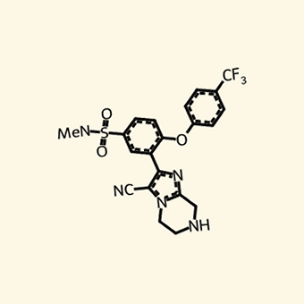 CNS(=O)(=O)c1ccc(Oc2ccc(C(F)(F)F)cc2)c(-c2nc3n(c2C#N)CCNC3)c1